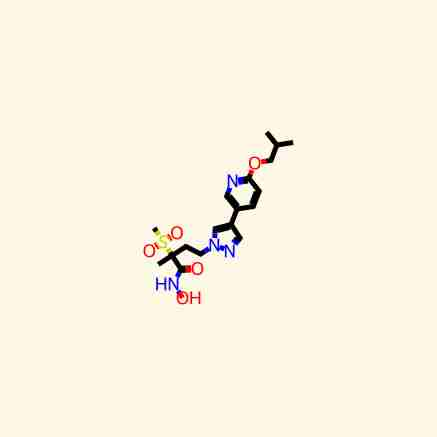 CC(C)COc1ccc(-c2cnn(CCC(C)(C(=O)NO)S(C)(=O)=O)c2)cn1